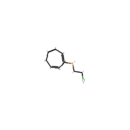 ClCCSC1=CCCCC=C1